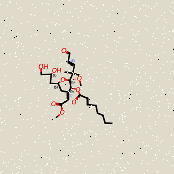 CCCCCCCC(=O)O[C@H]1/C(=C/C(=O)OC)C[C@@H](C[C@@H](O)CO)O[C@@]1(OC)C(C)(C)/C=C/C=O